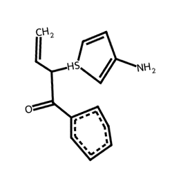 C=CC(C(=O)c1ccccc1)[SH]1C=CC(N)=C1